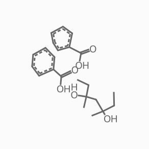 CCC(C)(O)CC(C)(O)CC.O=C(O)c1ccccc1.O=C(O)c1ccccc1